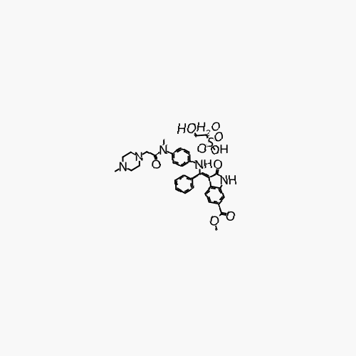 COC(=O)c1ccc2c(c1)NC(=O)/C2=C(\Nc1ccc(N(C)C(=O)CN2CCN(C)CC2)cc1)c1ccccc1.O.O=S(=O)(O)CCO